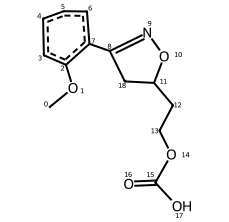 COc1ccccc1C1=NOC(CCOC(=O)O)C1